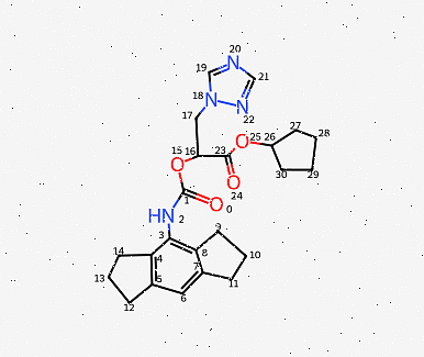 O=C(Nc1c2c(cc3c1CCC3)CCC2)OC(Cn1cncn1)C(=O)OC1CCCC1